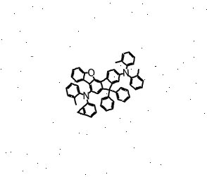 Cc1ccccc1N(c1ccc2c(c1)C(c1ccccc1)(c1ccccc1)c1cc(N(c3ccccc3C)c3cccc4c3C4)c3c(oc4ccccc43)c1-2)c1ccccc1C